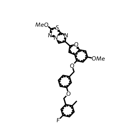 COc1cc(OCc2cccc(OCc3cc(F)ccc3C)c2)c2cc(-c3cn4nc(OC)sc4n3)oc2c1